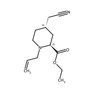 C=CCN1CC[C@H](CC#N)C[C@H]1C(=O)OCC